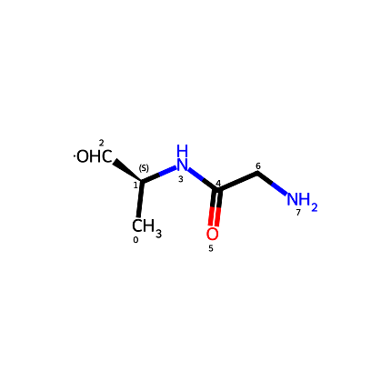 C[C@@H]([C]=O)NC(=O)CN